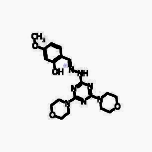 COc1ccc(/C=N/Nc2nc(N3CCOCC3)nc(N3CCOCC3)n2)c(O)c1